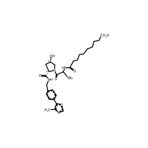 Cc1ncsc1-c1ccc(CNC(=O)[C@@H]2C[C@@H](O)CN2C(=O)C(NC(=O)CCCCCCCCC(=O)O)C(C)(C)C)cc1